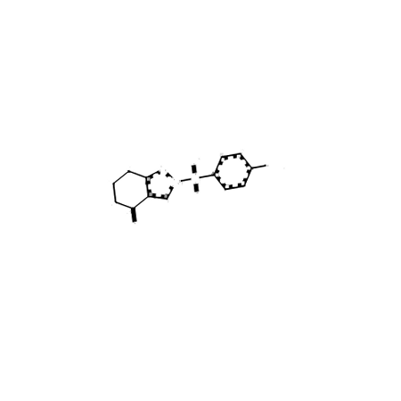 Cc1ccc(S(=O)(=O)n2cc3c(n2)CCCC3=O)cc1